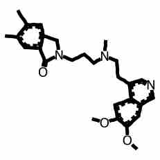 COc1cc2cncc(CCN(C)CCCN3Cc4cc(C)c(C)cc4C3=O)c2cc1OC